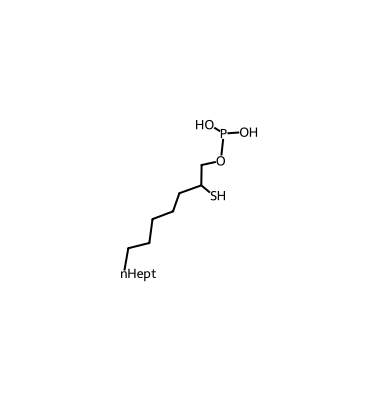 CCCCCCCCCCCCC(S)COP(O)O